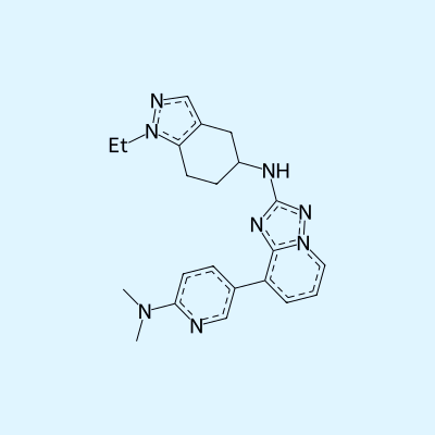 CCn1ncc2c1CCC(Nc1nc3c(-c4ccc(N(C)C)nc4)cccn3n1)C2